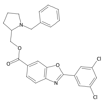 O=C(OCC1CCCN1Cc1ccccc1)c1ccc2nc(-c3cc(Cl)cc(Cl)c3)oc2c1